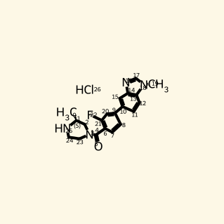 C[C@H]1CN(C(=O)c2ccc(-c3ccc4c(c3)ncn4C)cc2F)CCN1.Cl